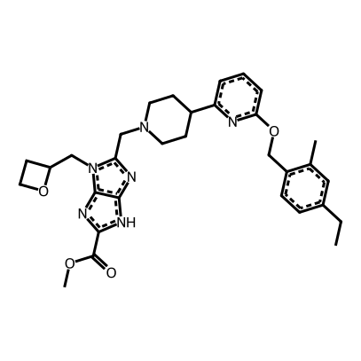 CCc1ccc(COc2cccc(C3CCN(Cc4nc5[nH]c(C(=O)OC)nc5n4CC4CCO4)CC3)n2)c(C)c1